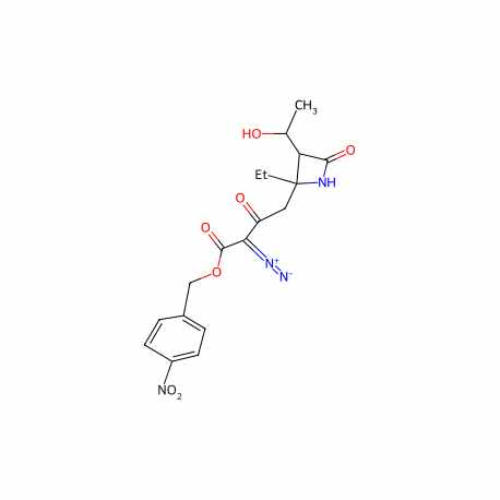 CCC1(CC(=O)C(=[N+]=[N-])C(=O)OCc2ccc([N+](=O)[O-])cc2)NC(=O)C1C(C)O